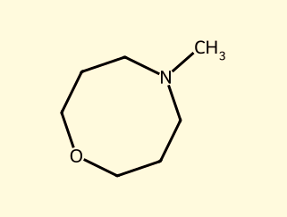 CN1CCCOCCC1